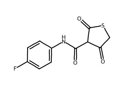 O=C1CSC(=O)C1C(=O)Nc1ccc(F)cc1